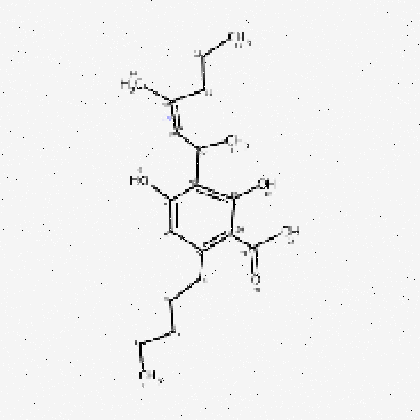 CCCCCc1cc(O)c(C(C)/C=C(/C)CCC)c(O)c1C(=O)O